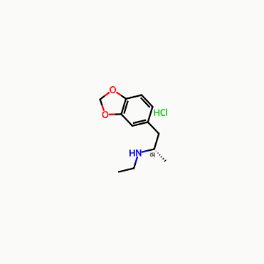 CCN[C@@H](C)Cc1ccc2c(c1)OCO2.Cl